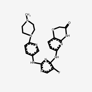 CN1CCN(c2ccc(Nc3ncc(F)c(Nc4ccc5c(n4)NC(=O)CO5)n3)cn2)CC1